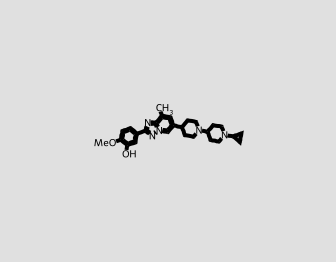 COc1ccc(-c2nc3c(C)cc(C4CCN(C5CCN(C6CC6)CC5)CC4)cn3n2)cc1O